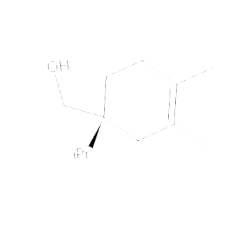 CC1=C(C)C[C@@](CO)(C(C)C)CC1